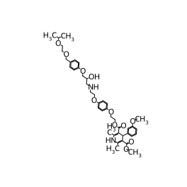 COC(=O)C1=C(C)NC(C)=C(C(=O)OCCOc2ccc(OCCNCC(O)COc3ccc(COCCOC(C)C)cc3)cc2)C1c1cccc(OC)c1